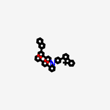 CC1(C)c2ccccc2-c2cccc(-c3ccc(N(c4ccc(-c5cccc(-c6ccc7ccccc7c6)c5)cc4)c4ccccc4-c4ccc(-c5ccccc5)cc4)cc3)c21